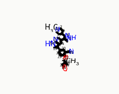 CN1CCC(c2n[nH]cc2-c2cnc3[nH]cc(-c4ccc(OCC5(C)COC5)c(C#N)c4)c3c2)CC1